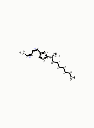 C/C=C\C=C/c1csc(N(N)CCCCCCO)n1